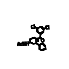 CC(=O)NC1CCN(C(=O)c2cc(Cl)cc(Cl)c2)C(c2ccccc2)C1